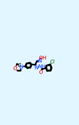 O=C(N/N=C(\C=N\O)c1ccc(N2CCOCC2)cc1)c1cccc(Cl)c1